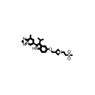 Cc1cc(-c2[nH]c3ccc(OCC4CN(CCS(C)(=O)=O)C4)cc3c2C(C)C)cn2ncnc12